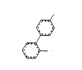 COc1ccccc1-c1ccc(P)cc1